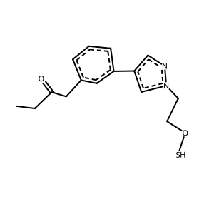 CCC(=O)Cc1cccc(-c2cnn(CCOS)c2)c1